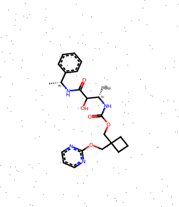 CCCC[C@H](NC(=O)OCC1(COc2ncccn2)CCC1)C(O)C(=O)N[C@H](C)c1ccccc1